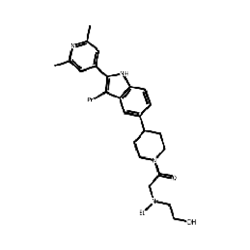 CCN(CCO)CC(=O)N1CCC(c2ccc3[nH]c(-c4cc(C)nc(C)c4)c(C(C)C)c3c2)CC1